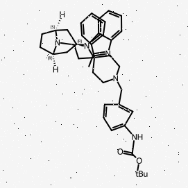 Cc1nc2ccccc2n1[C@H]1C[C@H]2CC[C@@H](C1)N2CCC1(c2ccccc2)CCN(Cc2cccc(NC(=O)OC(C)(C)C)c2)CC1